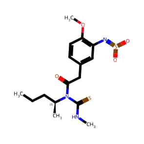 CCC[C@H](C)N(C(=O)Cc1ccc(OC)c(N=S(=O)=O)c1)C(=S)NC